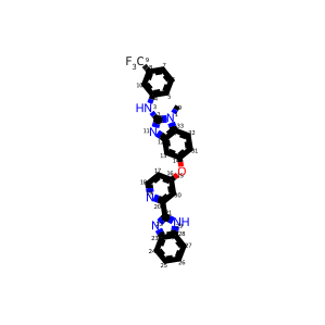 Cn1c(Nc2cccc(C(F)(F)F)c2)nc2cc(Oc3ccnc(-c4nc5ccccc5[nH]4)c3)ccc21